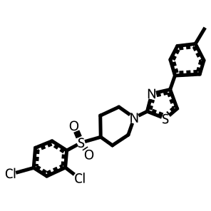 Cc1ccc(-c2csc(N3CCC(S(=O)(=O)c4ccc(Cl)cc4Cl)CC3)n2)cc1